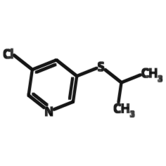 CC(C)Sc1cncc(Cl)c1